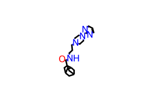 O=C(NCCCN1CCN(c2ncccn2)CC1)C12CC3CC(CC1C3)C2